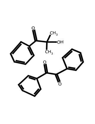 CC(C)(O)C(=O)c1ccccc1.O=C(C(=O)c1ccccc1)c1ccccc1